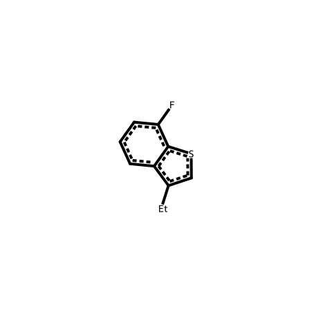 CCc1csc2c(F)cccc12